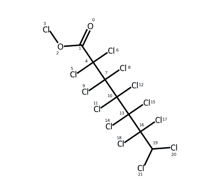 O=C(OCl)C(Cl)(Cl)C(Cl)(Cl)C(Cl)(Cl)C(Cl)(Cl)C(Cl)(Cl)C(Cl)Cl